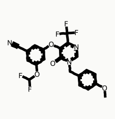 COc1ccc(Cn2cnc(C(F)(F)F)c(Oc3cc(C#N)cc(OC(F)F)c3)c2=O)cc1